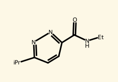 CCNC(=O)c1ccc(C(C)C)nn1